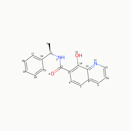 C[C@@H](NC(=O)c1ccc2cccnc2c1O)c1ccccc1